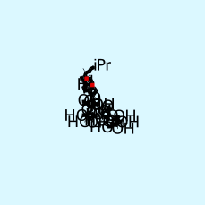 CC(C)CCC[C@@H](C)[C@H]1CC[C@H]2[C@@H]3CC=C4C[C@@H](O[C@H]5OC(CO)[C@@H](O[C@H]6OC(CO[C@@H]7OC(CO)[C@@H](O[C@H]8OC(CO)[C@@H](O)C(O)C8O)C(O)[C@@H]7O)[C@@H](O)[C@H](O)C6O)[C@H](O)C5O)CC[C@]4(C)[C@H]3CC[C@]12C